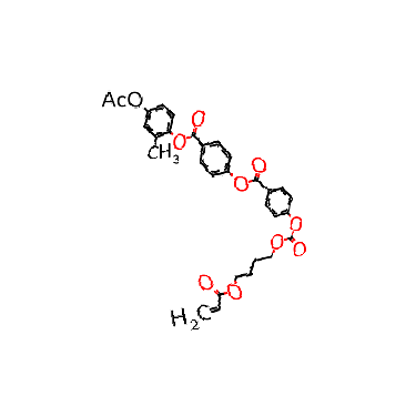 C=CC(=O)OCCCCOC(=O)Oc1ccc(C(=O)Oc2ccc(C(=O)Oc3ccc(OC(C)=O)cc3C)cc2)cc1